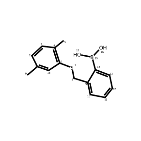 Cc1ccc(C)c(SCc2ccccc2B(O)O)c1